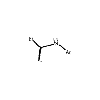 [CH2]C(CC)NC(C)=O